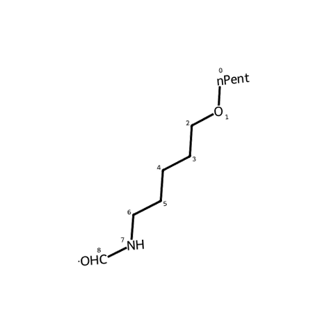 CCCCCOCCCCCN[C]=O